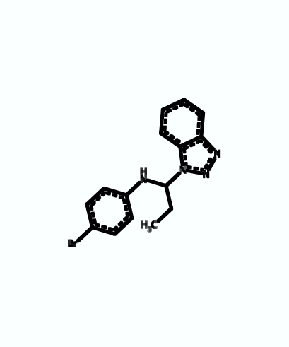 CCC(Nc1ccc(Br)cc1)n1nnc2ccccc21